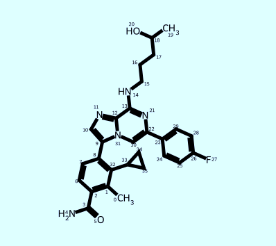 Cc1c(C(N)=O)ccc(-c2cnc3c(NCCCC(C)O)nc(-c4ccc(F)cc4)cn23)c1C1CC1